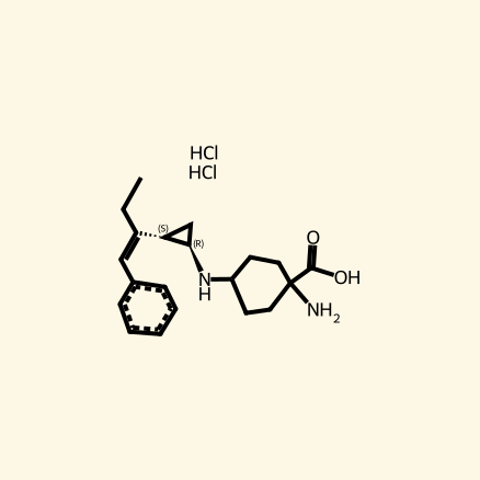 CCC(=Cc1ccccc1)[C@@H]1C[C@H]1NC1CCC(N)(C(=O)O)CC1.Cl.Cl